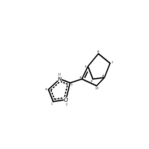 c1coc(C2=C3CCC(C3)C2)n1